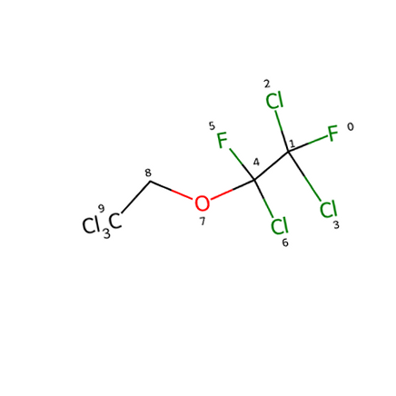 FC(Cl)(Cl)C(F)(Cl)OCC(Cl)(Cl)Cl